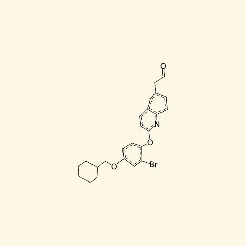 O=CCc1ccc2nc(Oc3ccc(OCC4CCCCC4)cc3Br)ccc2c1